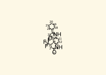 O=c1cc(C(F)(F)F)c2c3c(ccc2[nH]1)NC(c1ccccc1)CO3